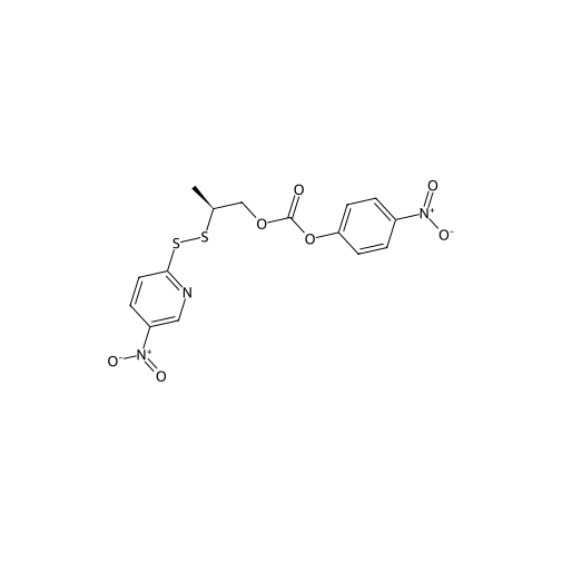 C[C@@H](COC(=O)Oc1ccc([N+](=O)[O-])cc1)SSc1ccc([N+](=O)[O-])cn1